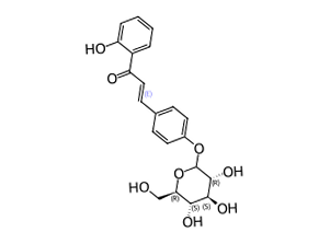 O=C(/C=C/c1ccc(OC2O[C@H](CO)[C@@H](O)[C@H](O)[C@H]2O)cc1)c1ccccc1O